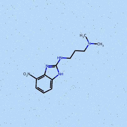 CN(C)CCCNc1nc2c([N+](=O)[O-])cccc2[nH]1